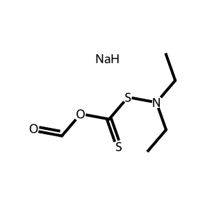 CCN(CC)SC(=S)OC=O.[NaH]